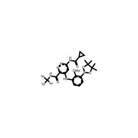 [2H]C([2H])([2H])NC(=O)c1nnc(NC(=O)C2CC2)cc1Nc1cccc(B2OC(C)(C)C(C)(C)O2)c1OC